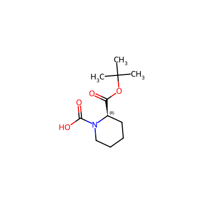 CC(C)(C)OC(=O)[C@H]1CCCCN1C(=O)O